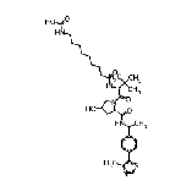 Cc1ncsc1-c1ccc([C@H](C)NC(=O)[C@@H]2C[C@@H](O)CN2C(=O)[C@@H](NC(=O)CCCCCCCCNC(=O)O)C(C)(C)C)cc1